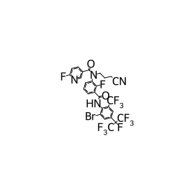 N#CCCCN(C(=O)c1ccc(F)nc1)c1cccc(C(=O)Nc2c(Br)cc(C(F)(C(F)(F)F)C(F)(F)F)cc2C(F)(F)F)c1F